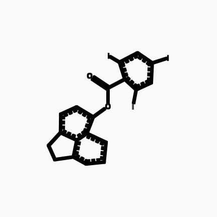 O=C(Oc1ccc2c3c(cccc13)CC2)c1c(I)cc(I)cc1I